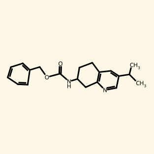 CC(C)c1cnc2c(c1)CCC(NC(=O)OCc1ccccc1)C2